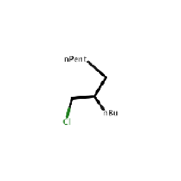 CCCCCCC(CCl)CCCC